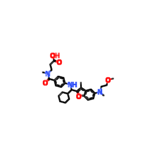 COCCN(C)c1ccc2oc(C(Nc3ccc(C(=O)N(C)CCC(=O)O)cc3)C3CCCCC3)c(C)c2c1